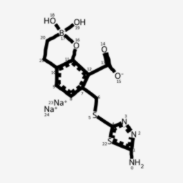 Nc1nnc(SCc2ccc3c(c2C(=O)[O-])O[B-](O)(O)CC3)s1.[Na+].[Na+]